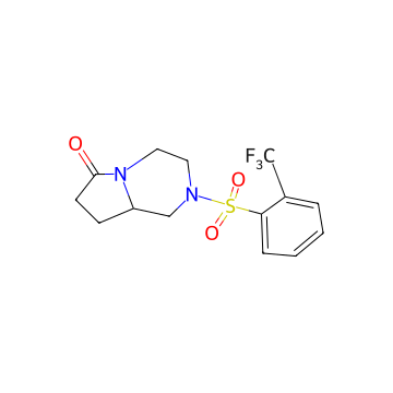 O=C1CCC2CN(S(=O)(=O)c3ccccc3C(F)(F)F)CCN12